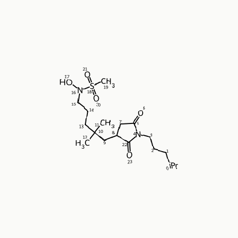 CC(C)CCCN1C(=O)CC(CC(C)(C)CCCN(O)S(C)(=O)=O)C1=O